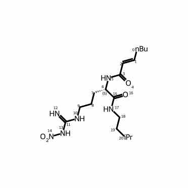 CCCCC=CC(=O)N[C@@H](CCCNC(=N)N[N+](=O)[O-])C(=O)NCCC(C)C